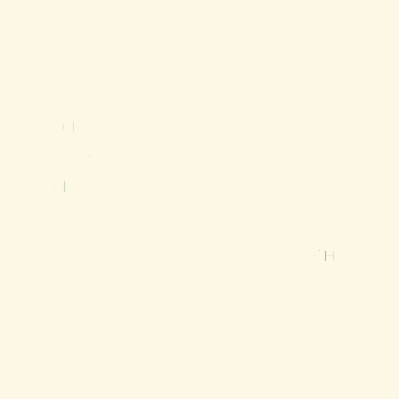 [CH2]c1ccc(CCCCC(Cl)Cl)cc1